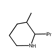 CC(C)C1NCCCC1C